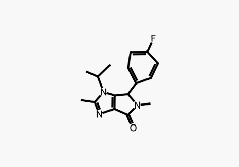 Cc1nc2c(n1C(C)C)C(c1ccc(F)cc1)N(C)C2=O